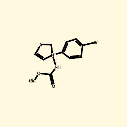 CC(C)(C)OC(=O)N[N+]1(c2ccc(Br)cc2)C=CSC1